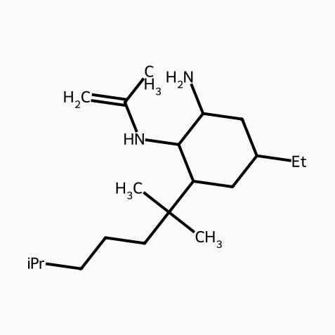 C=C(C)NC1C(N)CC(CC)CC1C(C)(C)CCCC(C)C